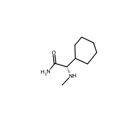 CN[C@H](C(N)=O)C1CCCCC1